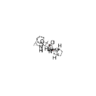 CC(C)(C(=O)N[C@H]1C[C@H]2CC[C@@H](C1)N2c1ccc(C(=O)NC2CC2)cn1)c1ccccc1